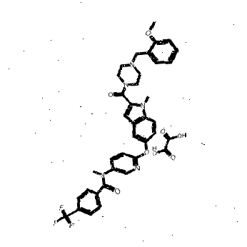 COc1ccccc1CN1CCN(C(=O)c2cc3cc(Oc4ccc(N(C)C(=O)c5ccc(C(F)(F)F)cc5)cn4)ccc3n2C)CC1.O=C(O)C(=O)O